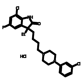 CCC1(CCCCN2CCN(c3cccc(Cl)c3)CC2)C(=O)Nc2c(Cl)cc(F)cc21.Cl